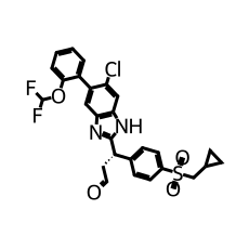 O=CC[C@@H](c1ccc(S(=O)(=O)CC2CC2)cc1)c1nc2cc(-c3ccccc3OC(F)F)c(Cl)cc2[nH]1